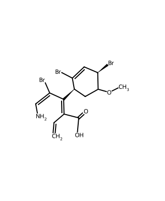 C=C/C(C(=O)O)=C(\C(Br)=C/N)[C@@H]1CC(OC)[C@H](Br)C=C1Br